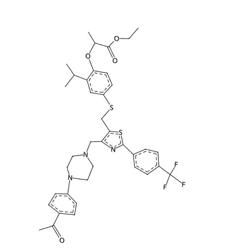 CCOC(=O)C(C)Oc1ccc(SCc2sc(-c3ccc(C(F)(F)F)cc3)nc2CN2CCN(c3ccc(C(C)=O)cc3)CC2)cc1C(C)C